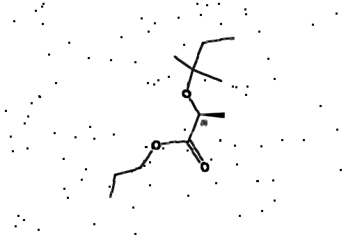 CCCOC(=O)[C@H](C)OC(C)(C)CC